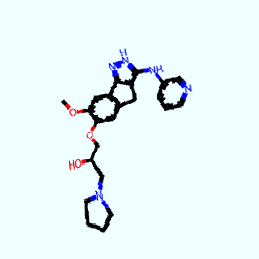 COc1cc2c(cc1OCC(O)CN1CCCC1)Cc1c-2n[nH]c1Nc1cccnc1